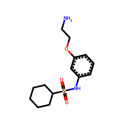 NCCOc1cccc(NS(=O)(=O)C2CCCCC2)c1